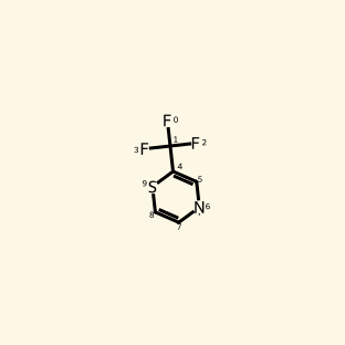 FC(F)(F)C1=C[N]C=CS1